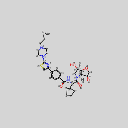 COCCN1CCN(c2nc(-c3ccc(C(=O)N[C@H](C(=O)N4C[C@@H](O)[C@H]5OCC(=O)[C@H]54)C4CCCC4)cc3)cs2)CC1